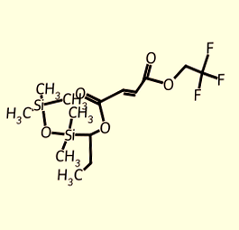 CCC(OC(=O)/C=C/C(=O)OCC(F)(F)F)[Si](C)(C)O[Si](C)(C)C